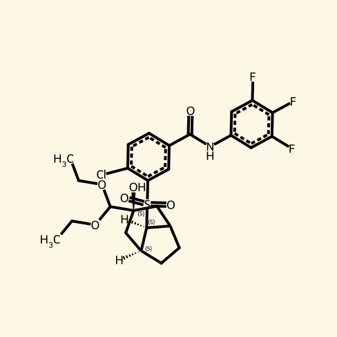 CCOC(OCC)[C@]1(O)CC2CC[C@@H](C1)[C@H]2S(=O)(=O)c1cc(C(=O)Nc2cc(F)c(F)c(F)c2)ccc1Cl